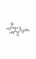 CCCCOC(=O)NC(=N)NC(O)CC